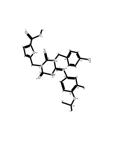 COC(=O)c1ccc(Cn2c(=O)[nH]/c(=N\c3ccc(OC(C)C)c(C)c3)n(Cc3ccc(Cl)cc3)c2=O)o1